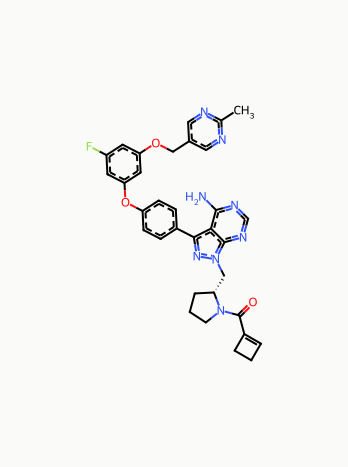 Cc1ncc(COc2cc(F)cc(Oc3ccc(-c4nn(C[C@H]5CCCN5C(=O)C5=CCC5)c5ncnc(N)c45)cc3)c2)cn1